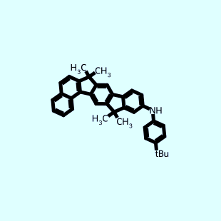 CC(C)(C)c1ccc(Nc2ccc3c(c2)C(C)(C)c2cc4c(cc2-3)C(C)(C)c2ccc3ccccc3c2-4)cc1